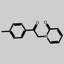 Cc1ccc(C(=O)Cn2ccccc2=O)cc1